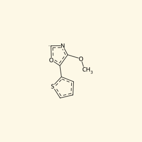 COc1n[c]oc1-c1cccs1